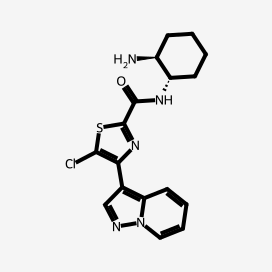 N[C@H]1CCCC[C@@H]1NC(=O)c1nc(-c2cnn3ccccc23)c(Cl)s1